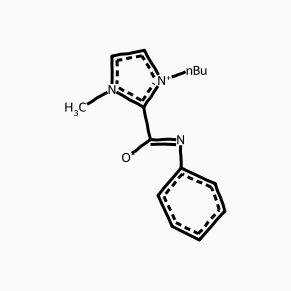 CCCC[n+]1ccn(C)c1/C([O-])=N/c1ccccc1